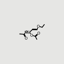 CCOC=C[SiH](OC(C)=O)OC(C)=O